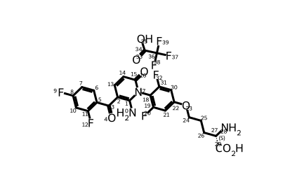 Nc1c(C(=O)c2ccc(F)cc2F)ccc(=O)n1-c1c(F)cc(OCCC[C@H](N)C(=O)O)cc1F.O=C(O)C(F)(F)F